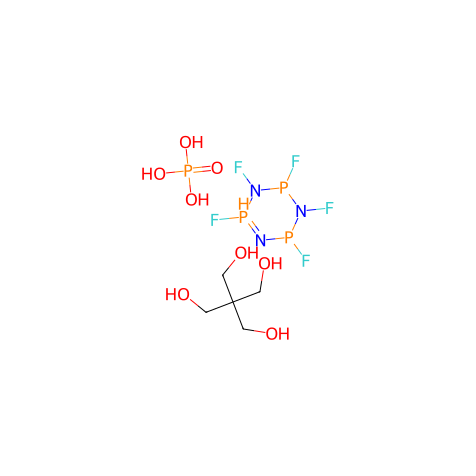 FN1P(F)N=[PH](F)N(F)P1F.O=P(O)(O)O.OCC(CO)(CO)CO